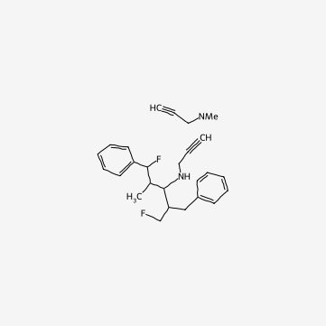 C#CCNC.C#CCNC(C(CF)Cc1ccccc1)C(C)C(F)c1ccccc1